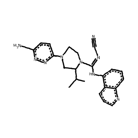 CC(C)C1CN(c2ccc(N)nn2)CCN1/C(=N\C#N)Nc1cccc2ncccc12